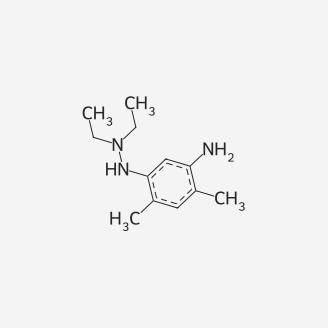 CCN(CC)Nc1cc(N)c(C)cc1C